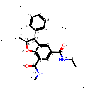 CCNC(=O)c1cc(C(=O)NC)c2c(c1)[C@@H](c1ccccc1)[C@H](C)O2